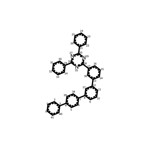 c1ccc(-c2ccc(-c3cccc(-c4cccc(-c5nc(-c6ccccc6)nc(-c6ccccc6)n5)c4)c3)cc2)cc1